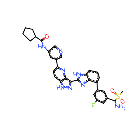 CS(=O)(=O)C(N)c1cc(F)cc(-c2cccc3[nH]c(-c4n[nH]c5ccc(-c6cncc(NC(=O)C7CCCC7)c6)nc45)nc23)c1